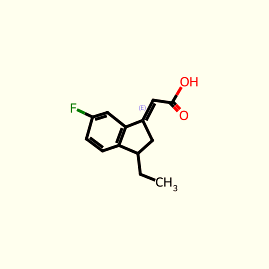 CCC1C/C(=C\C(=O)O)c2cc(F)ccc21